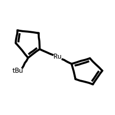 CC(C)(C)C1=[C]([Ru][C]2=CC=CC2)CC=C1